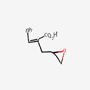 CCC/C=C(/CC1CO1)C(=O)O